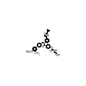 COc1ccc([C@H]2CC[C@H](CN(c3cccc(-c4coc(C5CC5)n4)c3)C(=O)[C@H]3CC[C@H](OC(=O)NCCO)CC3)CC2)cc1C